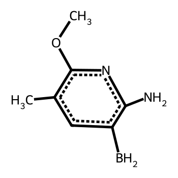 Bc1cc(C)c(OC)nc1N